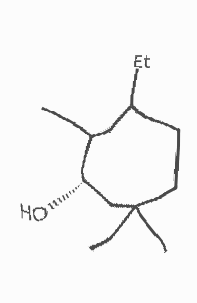 CCC1CCC(C)(C)[C@H](O)C1C